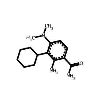 CN(C)c1ccc(C(N)=O)c(N)c1C1CCCCC1